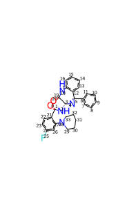 O=C(N[C@H]1N=C(c2ccccc2)c2ccccc2NC1=O)c1ccc(F)cc1N1CCCCC1